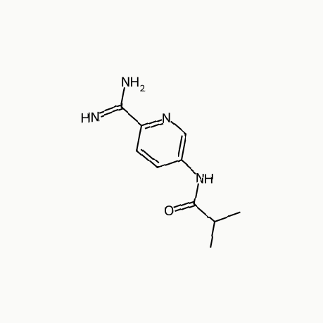 CC(C)C(=O)Nc1ccc(C(=N)N)nc1